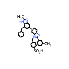 Cc1cccc(-c2nc3ccc(-c4cc(Cc5ccccc5)c5[nH]c(C)nc5c4)cc3n2Cc2ccc(S(=O)(=O)O)cc2)c1